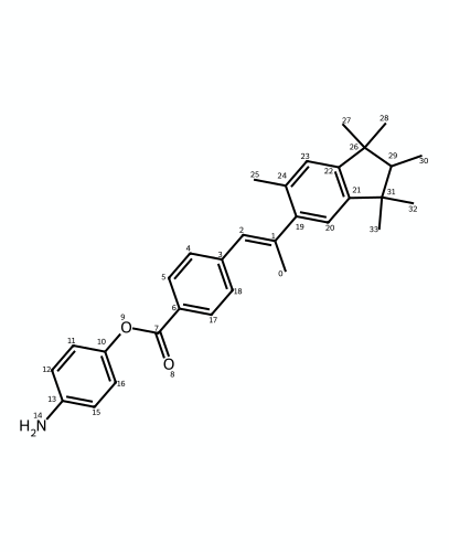 CC(=Cc1ccc(C(=O)Oc2ccc(N)cc2)cc1)c1cc2c(cc1C)C(C)(C)C(C)C2(C)C